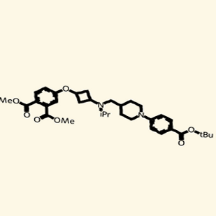 COC(=O)c1ccc(OC2CC(N(CC3CCN(c4ccc(C(=O)OC(C)(C)C)cc4)CC3)C(C)C)C2)cc1C(=O)OC